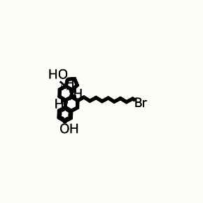 C[C@]12CC[C@@H]3c4ccc(O)cc4CC(CCCCCCCCCBr)[C@H]3[C@@H]1CCC2O